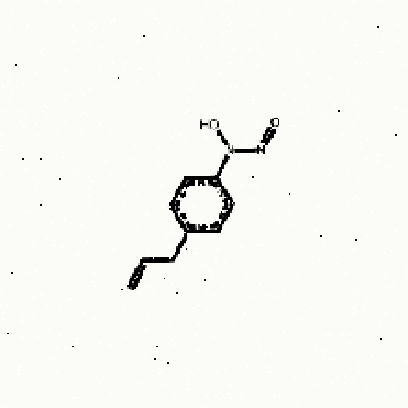 C=CCc1ccc(N(O)N=O)cc1